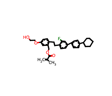 C=C(C)C(=O)OCc1cc(OCCO)ccc1CCc1ccc(-c2ccc(C3CCCCC3)cc2)cc1F